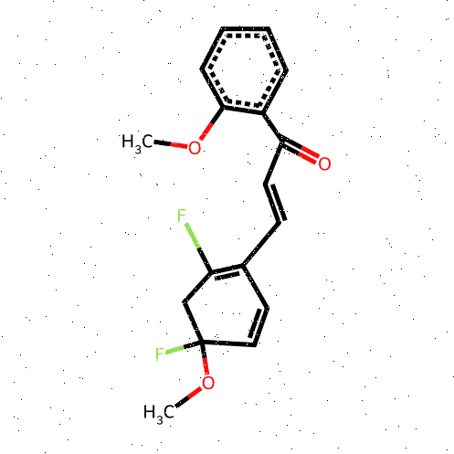 COc1ccccc1C(=O)C=CC1=C(F)CC(F)(OC)C=C1